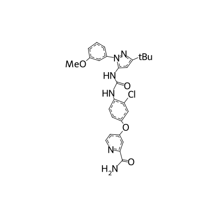 COc1cccc(-n2nc(C(C)(C)C)cc2NC(=O)Nc2ccc(Oc3ccnc(C(N)=O)c3)cc2Cl)c1